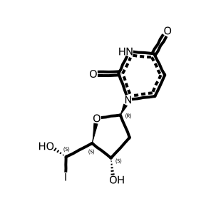 O=c1ccn([C@H]2C[C@H](O)[C@@H]([C@@H](O)I)O2)c(=O)[nH]1